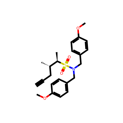 C#CC[C@H](C)[C@@H](C)S(=O)(=O)N(Cc1ccc(OC)cc1)Cc1ccc(OC)cc1